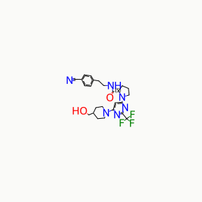 N#Cc1ccc(CCNC(=O)[C@@H]2CCCN2c2cc(N3CCC(CO)CC3)nc(C(F)(F)F)n2)cc1